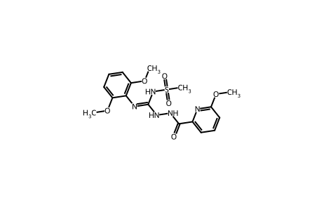 COc1cccc(C(=O)NN/C(=N/c2c(OC)cccc2OC)NS(C)(=O)=O)n1